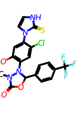 CN1C(=O)OC(c2ccc(C(F)(F)F)cc2)N1c1cc(Cl)c(-n2cc[nH]c2=S)cc1O